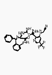 N#CCNc1cc(C(F)(F)F)cnc1C(=N)OC(=N)NC1N=C(c2ccccc2)c2ccccc2NC1=O